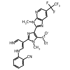 CC[S+]([O-])c1c(-c2nc3cc(C(F)(F)C(F)(F)F)cnc3n2C)nc(/C(C=N)=C/Nc2ccccc2C#N)n1C